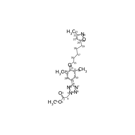 COC(=O)Cn1nnc(-c2cc(C)c(OCCCCCc3cc(C)no3)c(C)c2)n1